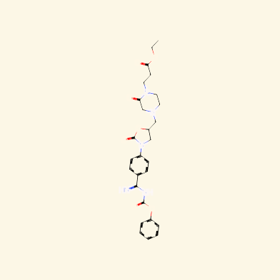 CCOC(=O)CCN1CCN(CC2CN(c3ccc(C(=N)NC(=O)Oc4ccccc4)cc3)C(=O)O2)CC1=O